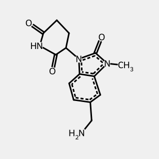 Cn1c(=O)n(C2CCC(=O)NC2=O)c2ccc(CN)cc21